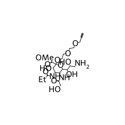 C#CCOCCOCCO[C@@]1(C(=O)OC)O[C@@H]([C@H](O)[C@H](O)CN)[C@H](NC(=O)CO)[C@@H](NC(=O)CC)[C@@H]1O